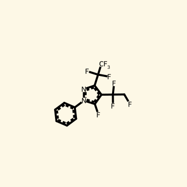 FCC(F)(F)c1c(C(F)(F)C(F)(F)F)nn(-c2ccccc2)c1F